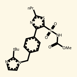 CCCc1nc(-c2ccc(Cn3ccnc3C(C)(C)C)cc2)c(S(=O)(=O)NC(=O)OC)s1